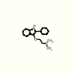 CN(C)CCOc1c(-c2ccccc2)[nH]c2ccccc12